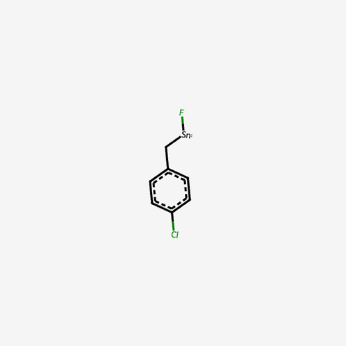 [F][Sn][CH2]c1ccc(Cl)cc1